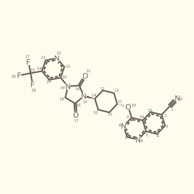 N#Cc1ccc2ncnc(O[C@H]3CC[C@H](N4C(=O)CN(c5cncc(C(F)(F)F)c5)C4=O)CC3)c2c1